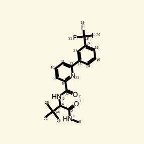 CNC(=O)C(NC(=O)c1cccc(-c2cccc(C(F)(F)F)c2)n1)C(C)(C)C